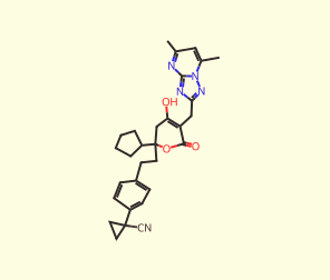 Cc1cc(C)n2nc(CC3=C(O)CC(CCc4ccc(C5(C#N)CC5)cc4)(C4CCCC4)OC3=O)nc2n1